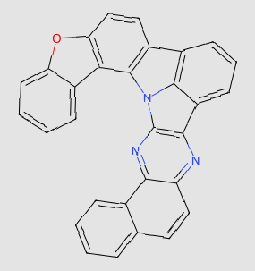 c1ccc2c(c1)ccc1nc3c4cccc5c6ccc7oc8ccccc8c7c6n(c3nc12)c54